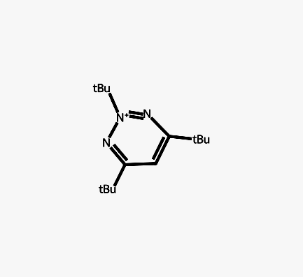 CC(C)(C)c1cc(C(C)(C)C)n[n+](C(C)(C)C)n1